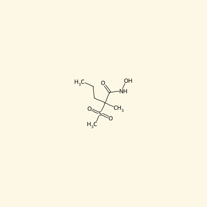 CCCC(C)(C(=O)NO)S(C)(=O)=O